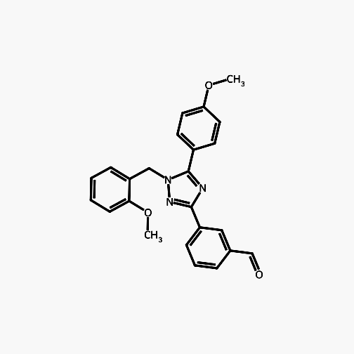 COc1ccc(-c2nc(-c3cccc(C=O)c3)nn2Cc2ccccc2OC)cc1